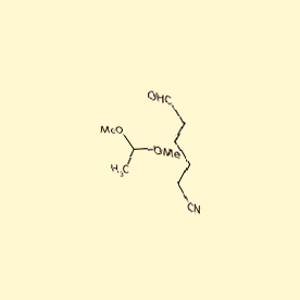 COC(C)OC.N#CCCCCC=O